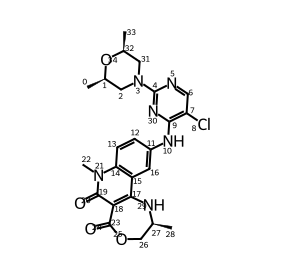 C[C@@H]1CN(c2ncc(Cl)c(Nc3ccc4c(c3)c3c(c(=O)n4C)C(=O)OC[C@H](C)N3)n2)C[C@H](C)O1